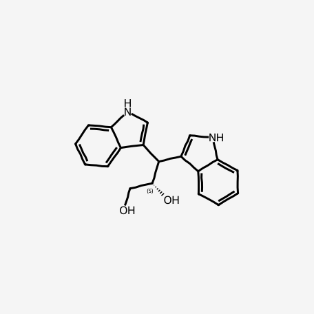 OC[C@@H](O)C(c1c[nH]c2ccccc12)c1c[nH]c2ccccc12